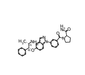 C[C@H](N)[C@H](Oc1ccc2c(cnn2-c2cccc(C(=O)N3CCCC3C(N)=O)c2)c1)c1ccccc1